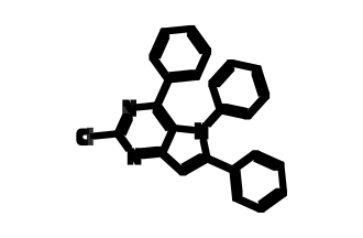 Clc1nc(-c2ccccc2)c2c(cc(-c3ccccc3)n2-c2ccccc2)n1